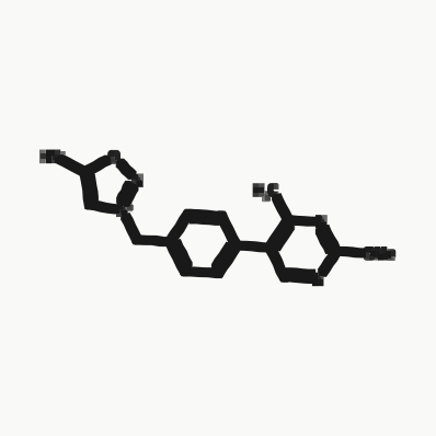 COc1ncc(-c2ccc(C[n+]3cc([NH-])on3)cc2)c(C)n1